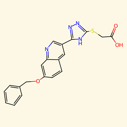 O=C(O)CSc1nnc(-c2cnc3cc(OCc4ccccc4)ccc3c2)[nH]1